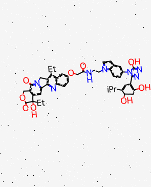 CCc1c2c(nc3ccc(OCC(=O)NCCn4ccc5cc(-n6c(O)nnc6C6=C(O)CC(O)C(C(C)C)=C6)ccc54)cc13)-c1cc3c(c(=O)n1C2)COC(=O)C3(O)CC